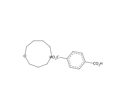 C1CCCCOCCC1.O=C(O)c1ccc(C(=O)O)cc1